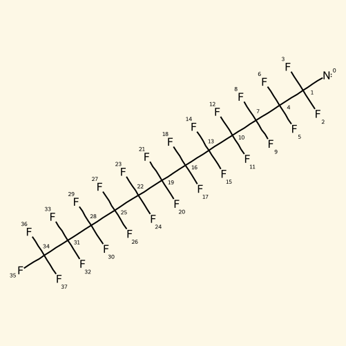 [N]C(F)(F)C(F)(F)C(F)(F)C(F)(F)C(F)(F)C(F)(F)C(F)(F)C(F)(F)C(F)(F)C(F)(F)C(F)(F)C(F)(F)F